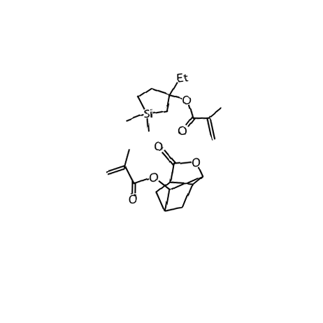 C=C(C)C(=O)OC1(CC)CC[Si](C)(C)C1.C=C(C)C(=O)OC1C2CC3C(=O)OC1C3C2